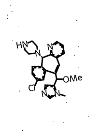 COC(C1=Cc2cccnc2[C@@H](N2CCNCC2)c2ccc(Cl)cc21)c1cncn1C